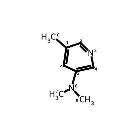 Cc1[c]ncc(N(C)C)c1